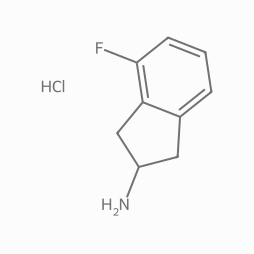 Cl.NC1Cc2cccc(F)c2C1